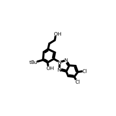 CC(C)(C)c1cc(CCO)cc(-n2nc3cc(Cl)c(Cl)cc3n2)c1O